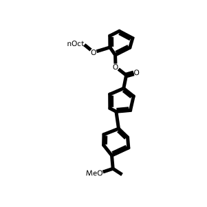 CCCCCCCCOc1ccccc1OC(=O)c1ccc(-c2ccc(C(C)OC)cc2)cc1